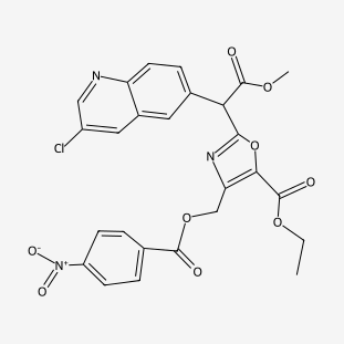 CCOC(=O)c1oc(C(C(=O)OC)c2ccc3ncc(Cl)cc3c2)nc1COC(=O)c1ccc([N+](=O)[O-])cc1